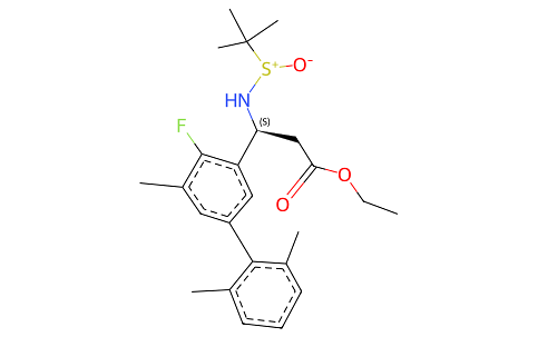 CCOC(=O)C[C@H](N[S+]([O-])C(C)(C)C)c1cc(-c2c(C)cccc2C)cc(C)c1F